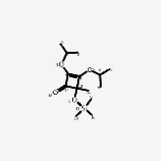 CC(C)OC1=C(OC(C)C)C(C)(O[Si](C)(C)C)C1=O